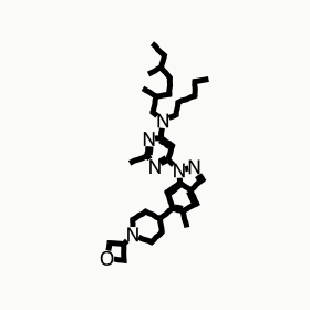 CCCCCN(CC(C)CCC(C)CC)c1cc(-n2ncc3cc(C)c(C4CCN(C5COC5)CC4)cc32)nc(C)n1